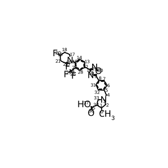 CC1CN(Cc2ccc(-c3nc(-c4ccc(N5CCC(F)CC5)c(C(F)(F)F)c4)no3)cc2)CC1C(=O)O